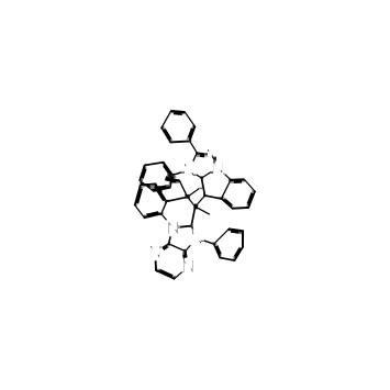 C=CC1(C)c2ccccc2N2c3nccnc3N(c3ccccc3)C2C1(C)C1c2ccccc2N2N=C(c3ccccc3)N(c3ccccc3)C12